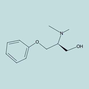 CN(C)[C@@H](CO)COc1ccccc1